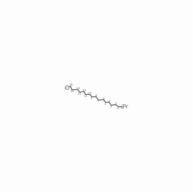 CC(C)CCCCCCCCCCCCCCCC[O]